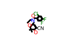 CC1(C)CC2(C=C(C#N)C1=O)CN(C(=O)c1cc(F)c(F)cc1Cl)CCO2